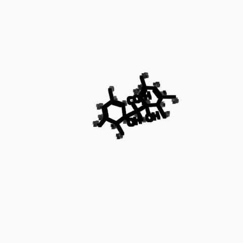 CC1=CC(O)(C(C)(C(=O)O)C2(O)C=C(C)C=C(C)C2C)C(C)C(C)=C1